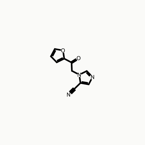 N#Cc1cncn1CC(=O)c1ccco1